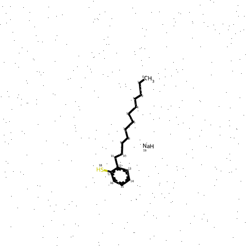 CCCCCCCCCCCCc1ccccc1S.[NaH]